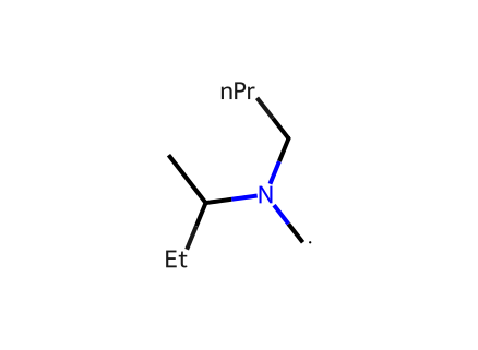 [CH2]N(CCCC)C(C)CC